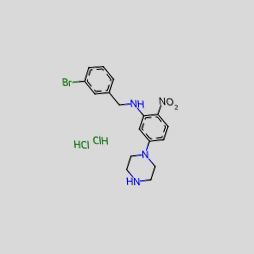 Cl.Cl.O=[N+]([O-])c1ccc(N2CCNCC2)cc1NCc1cccc(Br)c1